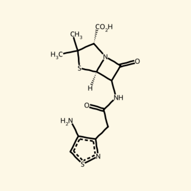 CC1(C)S[C@@H]2C(NC(=O)Cc3nscc3N)C(=O)N2[C@H]1C(=O)O